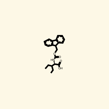 CCC(CC)[C@@H](NC(=O)OCC1c2ccccc2-c2ccccc21)C(=O)O